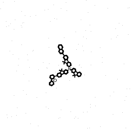 CC1(C)c2ccccc2-c2ccc(N(c3ccc4c(c3)C(C)(C)c3cc(-c5ccc6ccccc6c5)ccc3-4)c3ccc4c(c3)C(C)(C)c3cc(-c5cccc6c5oc5ccccc56)ccc3-4)cc21